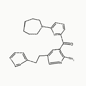 Nc1ncc(CCc2ccccc2)cc1C(=O)c1cccc(N2CCCCCC2)n1